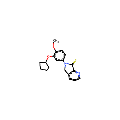 COc1ccc(N2Cc3cccnc3C2=S)cc1OC1CCCC1